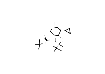 CC(C)(C)OC(=O)N[C@@H]1CNC[C@H](C2CC2)[C@H]1O[Si](C)(C)C(C)(C)C